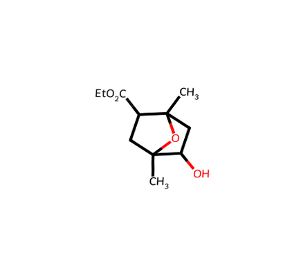 CCOC(=O)C1CC2(C)OC1(C)CC2O